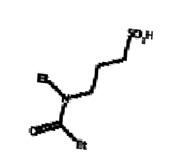 CCC(=O)N(CC)CCCS(=O)(=O)O